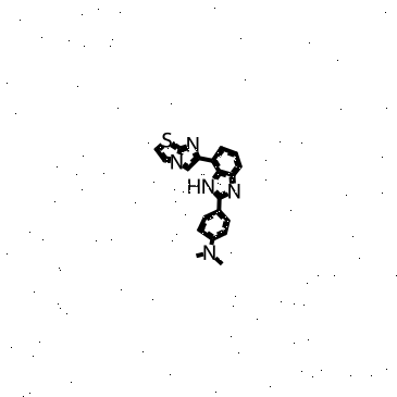 CN(C)c1ccc(-c2nc3cccc(-c4cn5ccsc5n4)c3[nH]2)cc1